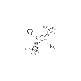 CCCCC1CC(CNC(=O)OC(C)(C)C)(COCc2ccccc2)CCN1C(=O)OC(C)(C)C